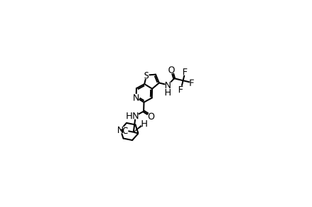 O=C(N[C@H]1CN2CCC1CC2)c1cc2c(NC(=O)C(F)(F)F)csc2cn1